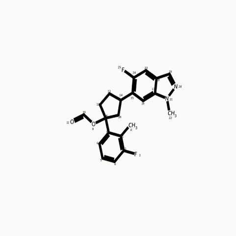 Cc1c(F)cccc1C1(OC=O)CCC(c2cc3c(cnn3C)cc2F)C1